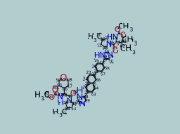 COC(=O)NC(C(=O)N1C[C@@H](C)C[C@H]1c1ncc(-c2ccc(-c3ccc4cc(-c5cnc([C@@H]6C[C@H](C)CN6C(=O)[C@@H](NC(=O)OC)C6CCOCC6)[nH]5)ccc4c3)cc2)[nH]1)C(C)C